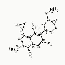 Cc1c(N2CCOC(CN)C2)c(F)cn2c(=O)c(C(=O)O)cc(C3CC3)c12